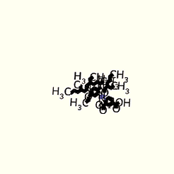 CCCCC(CC)CN(CC(CC)CCCC)c1cc(NC(=O)C(CC)CCCC)c(/N=N/c2ccc(C(=O)O)cc2[N+](=O)[O-])cc1OCC